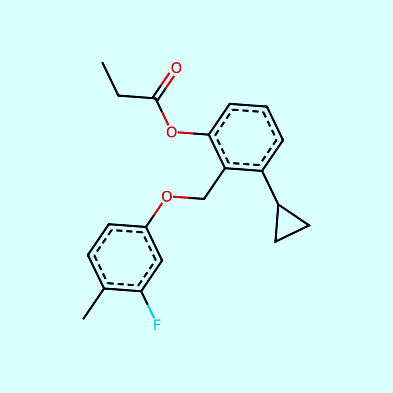 CCC(=O)Oc1cccc(C2CC2)c1COc1ccc(C)c(F)c1